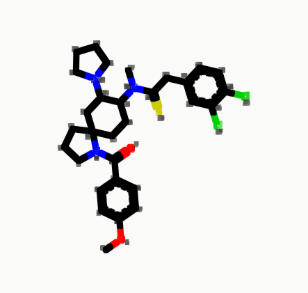 COc1ccc(C(=O)N2CCCC23CCC(N(C)C(=S)Cc2ccc(Cl)c(Cl)c2)C(N2CCCC2)C3)cc1